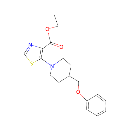 CCOC(=O)c1ncsc1N1CCC(COc2ccccc2)CC1